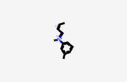 C/C=C\C=[N+](/C)c1cccc(C)c1